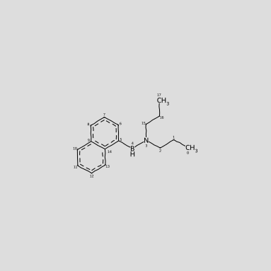 CCCN(Bc1cccc2ccccc12)CCC